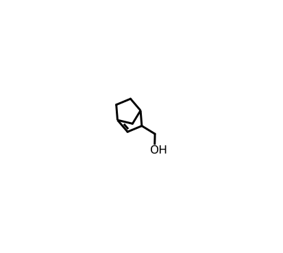 OCC1C=C2CCC1C2